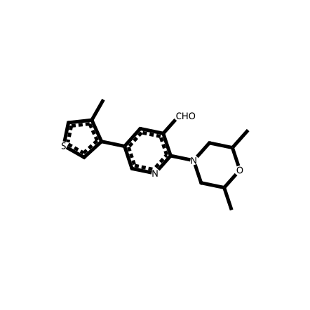 Cc1cscc1-c1cnc(N2CC(C)OC(C)C2)c(C=O)c1